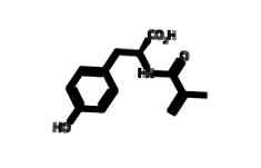 C=C(C)C(=O)N[C@@H](Cc1ccc(O)cc1)C(=O)O